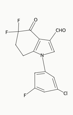 O=Cc1cn(-c2cc(F)cc(Cl)c2)c2c1C(=O)C(F)(F)CC2